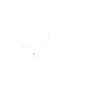 CC[C@@H](N)Cc1ccccc1C(=O)O